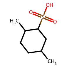 CC1CCC(C)C(S(=O)(=O)O)C1